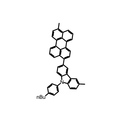 CCCCc1ccc(-n2c3ccc(C)cc3c3cc(-c4ccc5c6cccc7c(C)ccc(c8cccc4c85)c76)ccc32)cc1